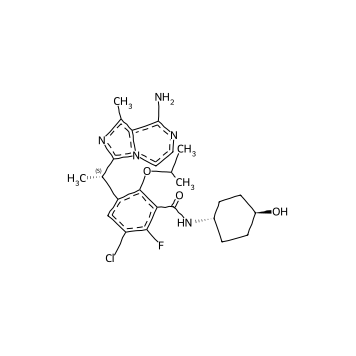 Cc1nc([C@@H](C)c2cc(Cl)c(F)c(C(=O)N[C@H]3CC[C@H](O)CC3)c2OC(C)C)n2ccnc(N)c12